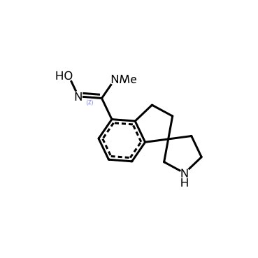 CN/C(=N\O)c1cccc2c1CCC21CCNC1